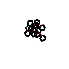 c1ccc(N(c2ccccc2C2(c3ccccc3)c3ccccc3-c3ccccc32)c2cccc3c2-c2ccccc2C32c3ccccc3Oc3ccccc32)cc1